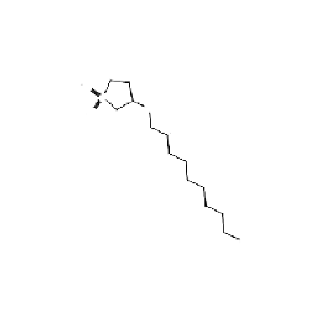 CCCCCCCCCCOC1CCS(=O)(=O)C1